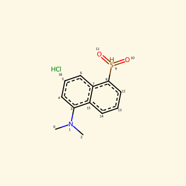 CN(C)c1cccc2c([SH](=O)=O)cccc12.Cl